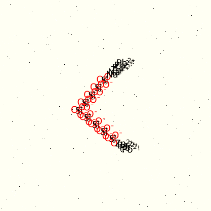 O=[Si]([O-])[O-].O=[Si]([O-])[O-].O=[Si]([O-])[O-].O=[Si]([O-])[O-].O=[Si]([O-])[O-].O=[Si]([O-])[O-].O=[Si]([O-])[O-].O=[Si]([O-])[O-].O=[Si]([O-])[O-].[Ba+2].[Ba+2].[Na+].[Na+].[Pb+2].[Pb+2].[Pb+2].[Pb+2].[Zn+2].[Zn+2]